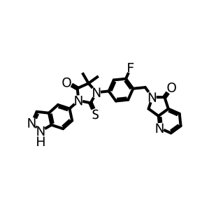 CC1(C)C(=O)N(c2ccc3[nH]ncc3c2)C(=S)N1c1ccc(CN2Cc3ncccc3C2=O)c(F)c1